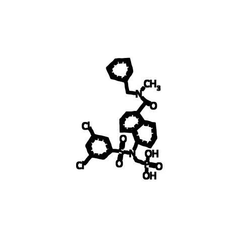 CN(Cc1ccccc1)C(=O)c1cccc2c(N(CP(=O)(O)O)S(=O)(=O)c3cc(Cl)cc(Cl)c3)cccc12